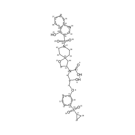 O=C(O)N(CC(O)COc1cccc(S(=O)(=O)C2CC2)c1)C1COC2(CCN(S(=O)(=O)c3cnc4ccccc4c3O)CC2)C1